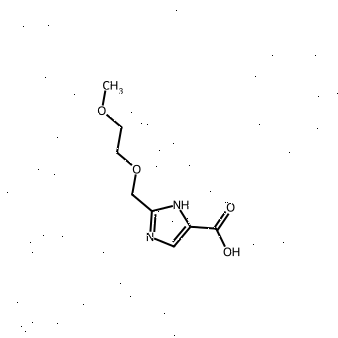 COCCOCc1ncc(C(=O)O)[nH]1